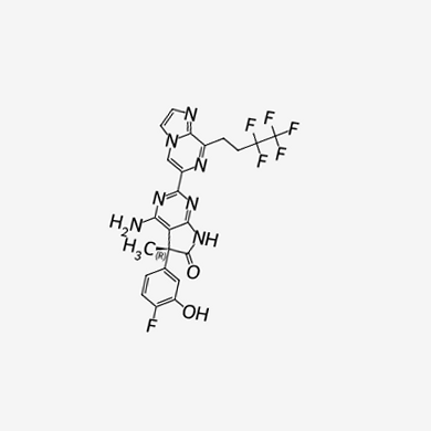 C[C@]1(c2ccc(F)c(O)c2)C(=O)Nc2nc(-c3cn4ccnc4c(CCC(F)(F)C(F)(F)F)n3)nc(N)c21